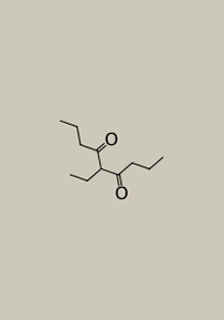 CCCC(=O)C(CC)C(=O)CCC